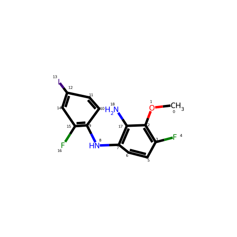 COc1c(F)ccc(Nc2ccc(I)cc2F)c1N